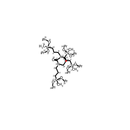 CC(C)O[Si](C)(CCCN(CCC[Si](C)(OC(C)C)OC(C)C)C(=O)N(CCC[Si](C)(OC(C)C)OC(C)C)CCC[Si](C)(OC(C)C)OC(C)C)OC(C)C